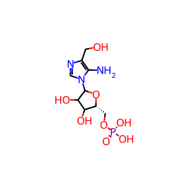 Nc1c(CO)ncn1C1O[C@H](COP(=O)(O)O)C(O)C1O